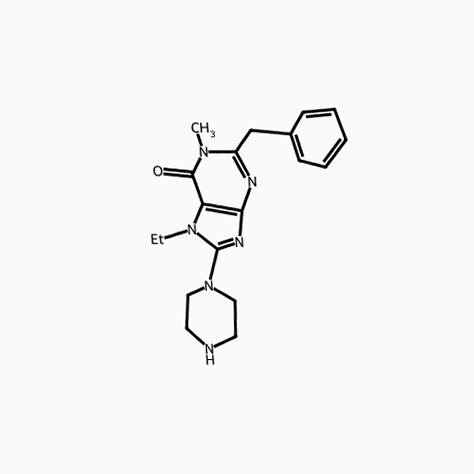 CCn1c(N2CCNCC2)nc2nc(Cc3ccccc3)n(C)c(=O)c21